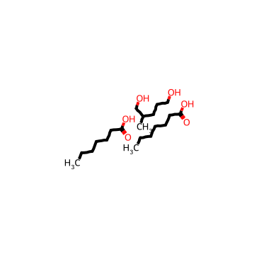 CC(CO)CCCO.CCCCCCC(=O)O.CCCCCCC(=O)O